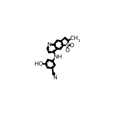 CC1=Cc2cc3nccc(Nc4cc(O)cc(C#N)c4)c3cc2S1(=O)=O